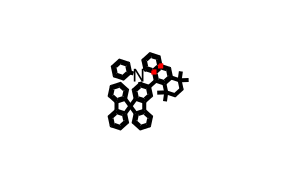 CC1(C)CCC(C)(C)c2c(-c3cc4c(cc3N(c3ccccc3)c3ccccc3)C3(c5ccccc5-c5ccccc53)c3ccccc3-4)cccc21